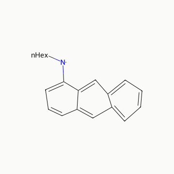 CCCCCC[N]c1cccc2cc3ccccc3cc12